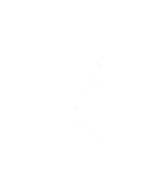 CCCC(NC(=O)c1ccc2[nH]c3c(c2c1)CCCCC3)N1CCN(c2cccc(Cl)c2Cl)CC1